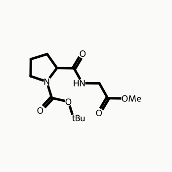 COC(=O)CNC(=O)C1CCCN1C(=O)OC(C)(C)C